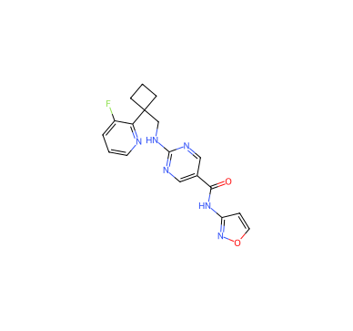 O=C(Nc1ccon1)c1cnc(NCC2(c3ncccc3F)CCC2)nc1